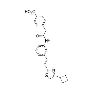 O=C(Cc1ccc(C(=O)O)cc1)Nc1cccc(C=Cc2nc(C3CCC3)cs2)c1